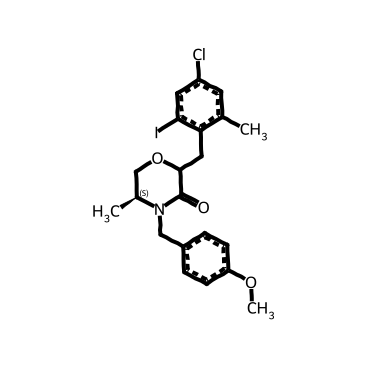 COc1ccc(CN2C(=O)C(Cc3c(C)cc(Cl)cc3I)OC[C@@H]2C)cc1